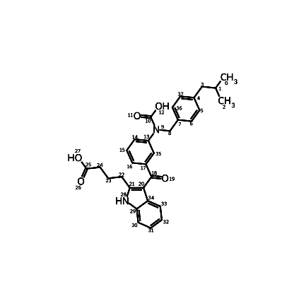 CC(C)Cc1ccc(CN(C(=O)O)c2cccc(C(=O)c3c(CCCC(=O)O)[nH]c4ccccc34)c2)cc1